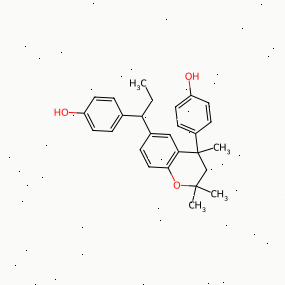 CCC(c1ccc(O)cc1)c1ccc2c(c1)C(C)(c1ccc(O)cc1)CC(C)(C)O2